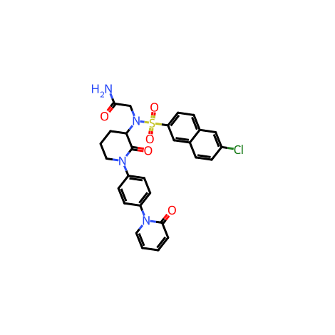 NC(=O)CN(C1CCCN(c2ccc(-n3ccccc3=O)cc2)C1=O)S(=O)(=O)c1ccc2cc(Cl)ccc2c1